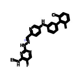 CCNc1nc(N/N=C/c2ccc(Nc3cccc(-c4c(C)cccc4Cl)c3)cn2)ncc1F